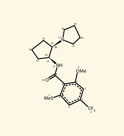 COc1cc(C(F)(F)F)cc(SC)c1C(=O)N[C@H]1CCC[C@H]1N1CCCC1